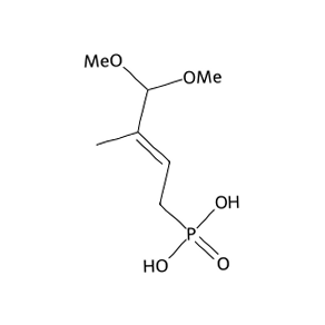 COC(OC)C(C)=CCP(=O)(O)O